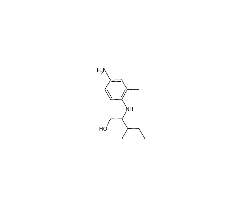 CCC(C)C(CO)Nc1ccc(N)cc1C